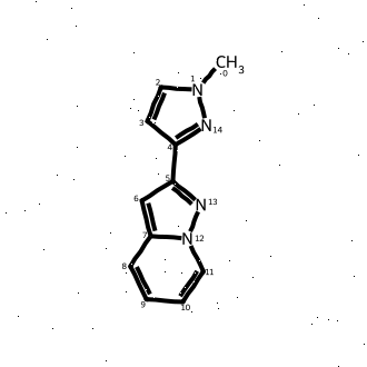 Cn1ccc(-c2cc3ccccn3n2)n1